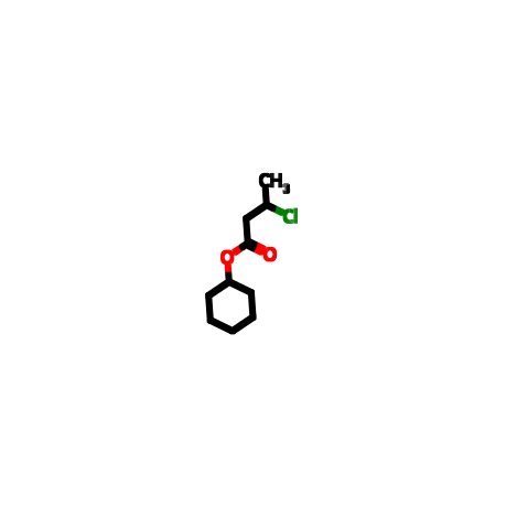 CC(Cl)CC(=O)OC1CCCCC1